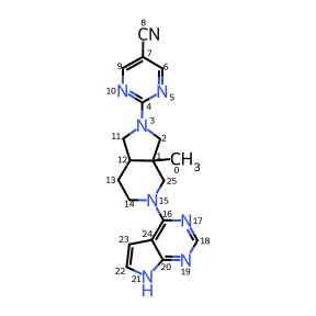 CC12CN(c3ncc(C#N)cn3)CC1CCN(c1ncnc3[nH]ccc13)C2